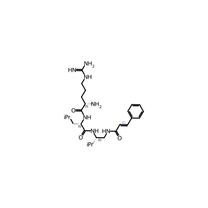 CC(C)C[C@H](NC(=O)[C@@H](N)CCCNC(=N)N)C(=O)N[C@H](CNC(=O)/C=C/c1ccccc1)C(C)C